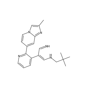 Cc1cn2ccc(-c3ncccc3/C(C=N)=C/NCC(C)(C)C)cc2n1